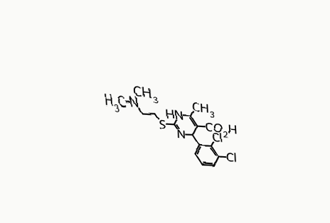 CC1=C(C(=O)O)C(c2cccc(Cl)c2Cl)N=C(SCCN(C)C)N1